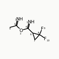 CC(=N)OC(=N)C1CC1(F)F